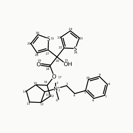 C[N+](C)(CCc1ccccc1)C1C2CCC1C(OC(=O)C(O)(c1cccs1)c1cccs1)C2